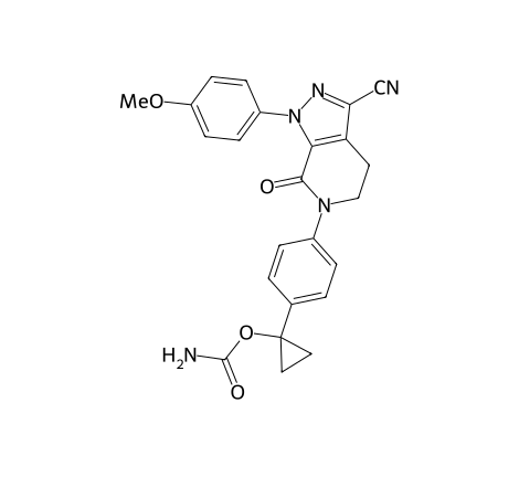 COc1ccc(-n2nc(C#N)c3c2C(=O)N(c2ccc(C4(OC(N)=O)CC4)cc2)CC3)cc1